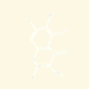 Cc1c(F)oc2cc(F)c(Br)c(F)c2c1=O